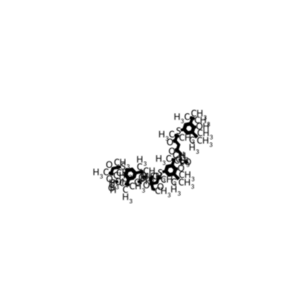 CCC(CC)(O[PH](=O)Oc1c(C(C)(C)C)cc(SC(C)(C)C(=O)C(C)(C)O[PH](=O)O)cc1C(C)(C)C)C(=O)C(C)(C)Sc1cc(C(C)(C)C)c(O[PH](=O)OCC(=O)CC(=O)C(C)(C)Sc2cc(C(C)(C)C)c(O)c(C(C)(C)C)c2)c(C(C)(C)C)c1